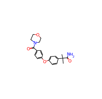 CC(C)(C(N)=O)c1ccc(Oc2ccc(C(=O)N3CCOCC3)cc2)cc1